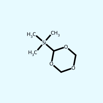 C[Si](C)(C)C1OCOCO1